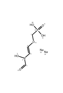 O=CN(O)C=COCP(=O)(O)O.[Na].[Na]